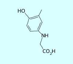 Cc1cc(NCC(=O)O)ccc1O